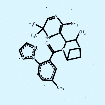 Cc1ccc(-n2nccn2)c(C(=O)N2C3CC(C3)C(C)C2C2=C(N)N=CC(C)(C(F)(F)F)N2)c1